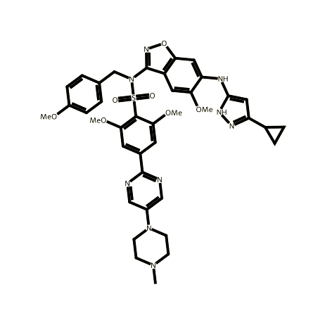 COc1ccc(CN(c2noc3cc(Nc4cc(C5CC5)n[nH]4)c(OC)cc23)S(=O)(=O)c2c(OC)cc(-c3ncc(N4CCN(C)CC4)cn3)cc2OC)cc1